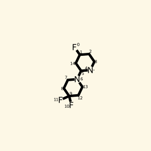 FC1CC[N]C(N2CCC(F)(F)CC2)C1